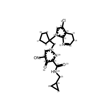 O=Nc1cn(CC2(n3cc(Cl)c4c3N=CCC4)CCCC2)nc(C(=O)NCC2CC2)c1=O